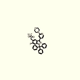 CS(=O)(=O)Cc1cc2c(-c3ccnc(N4CCOCC4)c3)nn(C(c3ccccc3)(c3ccccc3)c3ccccc3)c2cc1F